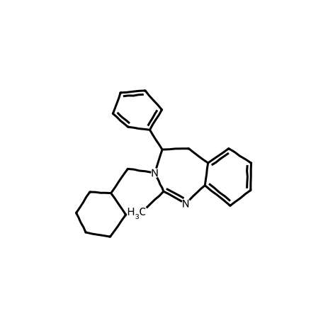 CC1=Nc2ccccc2CC(c2ccccc2)N1CC1CCCCC1